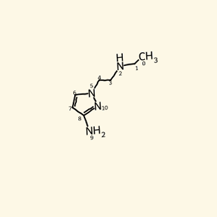 CCNCCn1ccc(N)n1